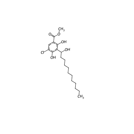 CCCCCCCCCCCC(O)c1c(O)c(Cl)cc(C(=O)OC)c1O